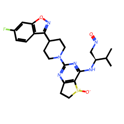 CC(C)[C@H](CN=O)Nc1nc(N2CCC(c3noc4cc(F)ccc34)CC2)nc2c1[S+]([O-])CC2